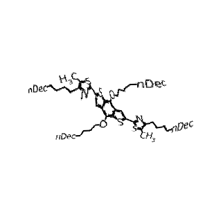 CCCCCCCCCCCCCCOc1c2cc(-c3nc(CCCCCCCCCCCCCC)c(C)s3)sc2c(OCCCCCCCCCCCCCC)c2cc(-c3nc(CCCCCCCCCCCCCC)c(C)s3)sc12